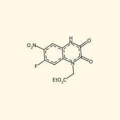 CCOC(=O)Cn1c(=O)c(=O)[nH]c2cc([N+](=O)[O-])c(F)cc21